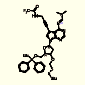 CN(C)/C=N/c1ncnc2c1c(C#CCNC(=O)C(F)(F)F)cn2[C@H]1CC(OCSSC(C)(C)C)[C@@H](CO[Si](c2ccccc2)(c2ccccc2)C(C)(C)C)O1